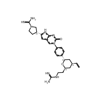 C=C[C@H]1C[C@@H](CCNC(=N)N)O[C@H](c2ccc(-n3cc4cc([C@@H]5CCN(C(=N)N)C5)[nH]c4nc3=O)cc2)C1